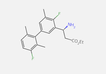 CCOC(=O)C[C@H](N)c1cc(-c2c(C)ccc(F)c2C)cc(C)c1F